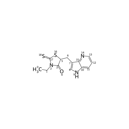 CCN1C(=O)C(Cc2c[nH]c3cccnc23)SC1=S